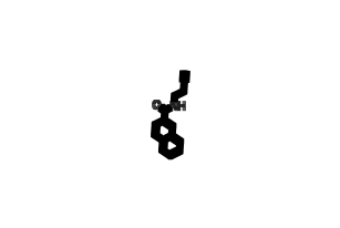 C#CCCNC(=O)c1ccc2ccccc2c1